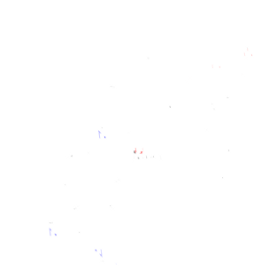 COc1cccc(C(=O)OS(C)(=O)=O)c1-c1ccccc1C(=O)Nc1ccc(C(=N)N)cc1